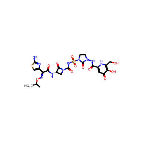 CC(ON=C(C(=O)N[C@H]1CN(C(=O)NS(=O)(=O)N2CCN(NC(=O)c3cc(=O)c(O)c(CO)[nH]3)C2=O)C1=O)c1csc(N)n1)C(=O)O